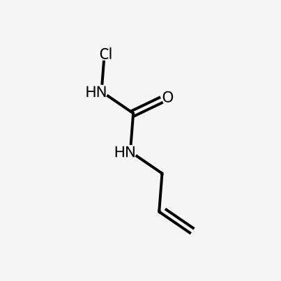 C=CCNC(=O)NCl